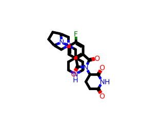 O=C1CCC(N2C(=O)c3cc(F)c(N4C5CCC4CN(CC4CCNCC4)C5)cc3C2=O)C(=O)N1